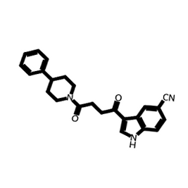 N#Cc1ccc2[nH]cc(C(=O)CCC(=O)N3CCC(c4ccccc4)CC3)c2c1